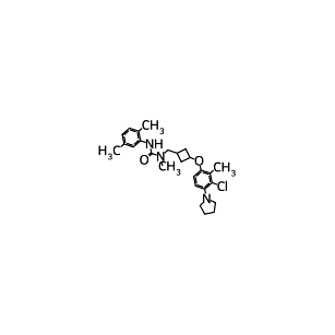 Cc1ccc(C)c(NC(=O)N(C)CC2CC(Oc3ccc(N4CCCC4)c(Cl)c3C)C2)c1